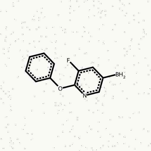 Bc1cnc(Oc2ccccc2)c(F)c1